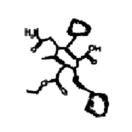 CCOC(=O)C1=C(C)N(CC(N)=O)C(c2ccccc2)=C(C(=O)O)C1C#Cc1ccccc1